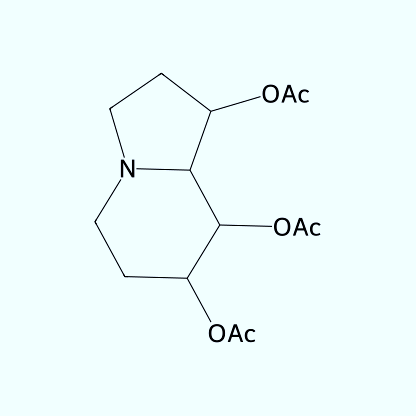 CC(=O)OC1CCN2CCC(OC(C)=O)C2C1OC(C)=O